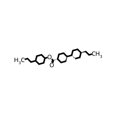 CCCC1CCC(OC(=O)[C@H]2CC[C@H]([C@H]3CC[C@H](CCC)CC3)CC2)CC1